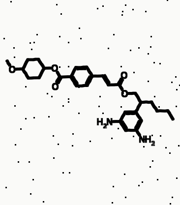 CCCCC(COC(=O)/C=C/c1ccc(C(=O)OC2CCC(OC)CC2)cc1)c1cc(N)cc(N)c1